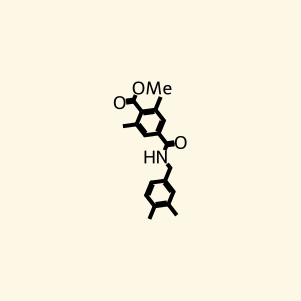 COC(=O)c1c(C)cc(C(=O)NCc2ccc(C)c(C)c2)cc1C